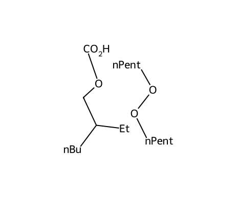 CCCCC(CC)COC(=O)O.CCCCCOOCCCCC